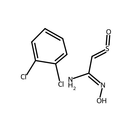 Clc1ccccc1Cl.NC(C=S=O)=NO